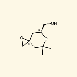 CC1(C)C[C@@]2(CO2)C[C@@H](CO)O1